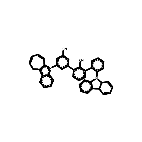 N#Cc1cc(-c2cccc(-c3ccccc3N3c4ccccc4C4C=CC=CC43)c2C#N)cc(-n2c3c(c4ccccc42)CC=CC=C3)c1